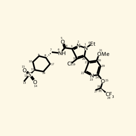 CCn1nc(C(=O)NC[C@H]2CC[C@H](S(C)(=O)=O)CC2)c(Cl)c1-c1cnc(O[C@H](C)C(F)(F)F)cc1OC